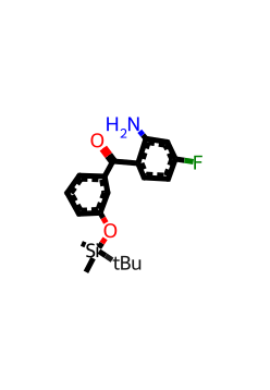 CC(C)(C)[Si](C)(C)Oc1cccc(C(=O)c2ccc(F)cc2N)c1